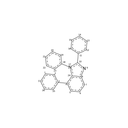 c1ccc(-c2cccc3nc(-c4ccccc4)n(-c4ccccc4)c23)cc1